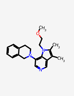 COCCn1c(C)c(C)c2cncc(N3CCc4ccccc4C3)c21